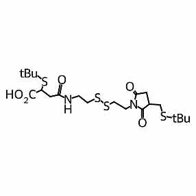 CC(C)(C)SCC1CC(=O)N(CCSSCCNC(=O)CC(SC(C)(C)C)C(=O)O)C1=O